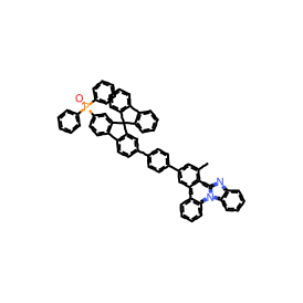 Cc1cc(-c2ccc(-c3ccc4c(c3)C3(c5ccccc5-c5ccccc53)c3cc(P(=O)(c5ccccc5)c5ccccc5)ccc3-4)cc2)cc2c3ccccc3n3c4ccccc4nc3c12